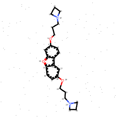 c1cc2c(cc1OCCCN1CCC1)oc1ccc(OCCCN3CCC3)cc12